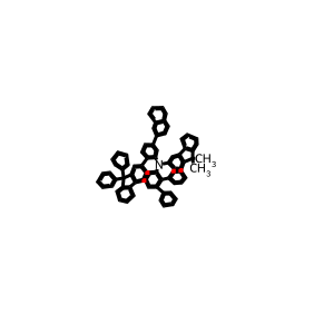 CC1(C)c2ccccc2-c2cc(N(c3cc(-c4ccc5ccccc5c4)ccc3-c3ccc4c(c3)C(c3ccccc3)(c3ccccc3)c3ccccc3-4)c3cccc(-c4ccccc4)c3-c3ccccc3)ccc21